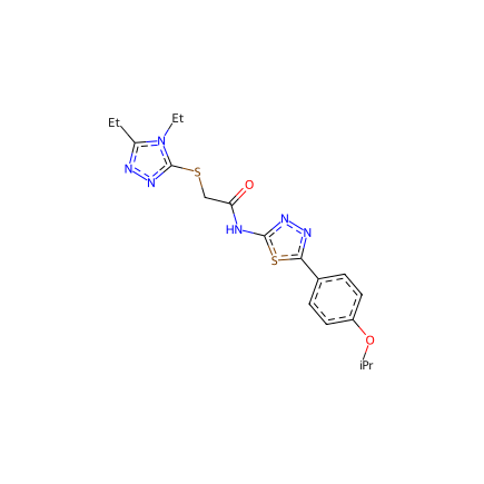 CCc1nnc(SCC(=O)Nc2nnc(-c3ccc(OC(C)C)cc3)s2)n1CC